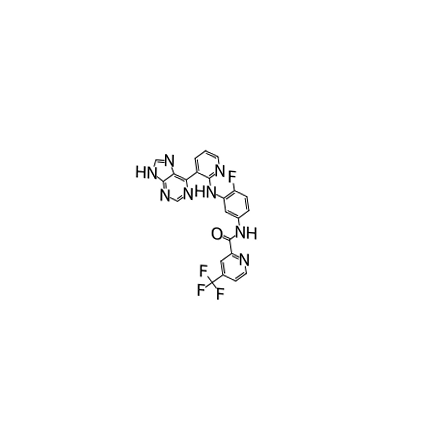 O=C(Nc1ccc(F)c(Nc2ncccc2-c2ncnc3[nH]cnc23)c1)c1cc(C(F)(F)F)ccn1